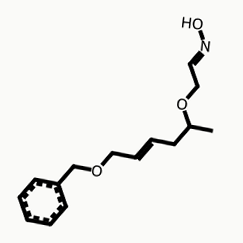 CC(CC=CCOCc1ccccc1)OCC=NO